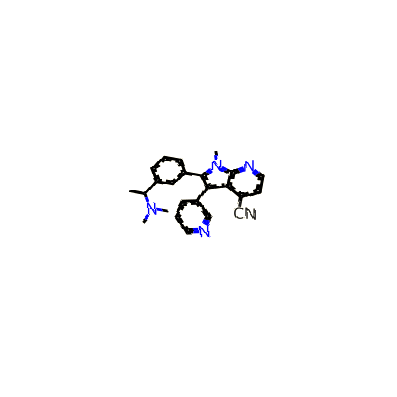 CC(c1cccc(-c2c(-c3cccnc3)c3c(C#N)ccnc3n2C)c1)N(C)C